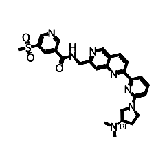 CN(C)[C@@H]1CCN(c2cccc(-c3ccc4cnc(CNC(=O)c5cncc(S(C)(=O)=O)c5)cc4n3)n2)C1